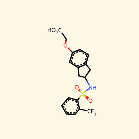 O=C(O)COc1ccc2c(c1)CC(NS(=O)(=O)c1ccccc1C(F)(F)F)C2